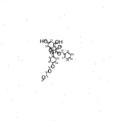 COCCOCOc1ccc(C(=O)C(OCc2ccccc2)C(=O)c2c(O)cc(O)cc2O)cc1